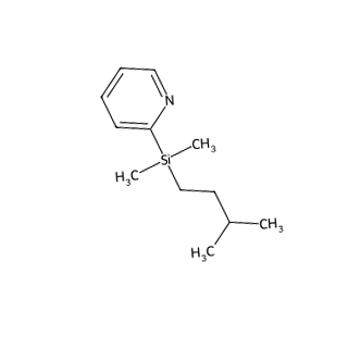 CC(C)CC[Si](C)(C)c1ccccn1